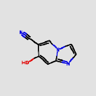 N#Cc1cn2ccnc2cc1O